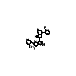 Cc1ccncc1-c1ccc2[nH]nc(-c3cc4c(-c5ccccc5F)cncc4[nH]3)c2n1